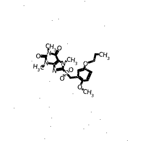 CCCOc1ccc(OC)c(CS(=O)(=O)c2nc3c(c(=O)n(C)c(=O)n3C)n2C)c1